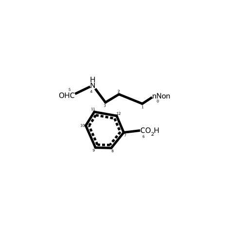 CCCCCCCCCCCCNC=O.O=C(O)c1ccccc1